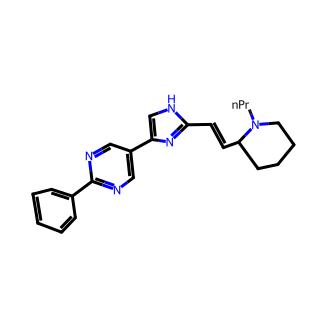 CCCN1CCCCC1/C=C/c1nc(-c2cnc(-c3ccccc3)nc2)c[nH]1